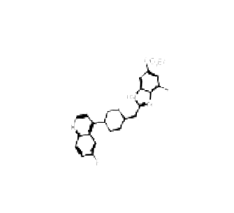 CCOC(=O)c1cc(C)c2nc([C@H](C)C3CCC(c4ccnc5ccc(F)cc45)CC3)[nH]c2c1